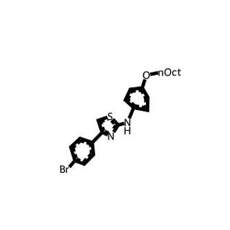 CCCCCCCCOc1ccc(Nc2nc(-c3ccc(Br)cc3)cs2)cc1